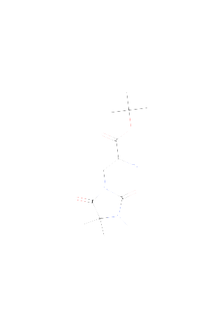 CN1C(=O)N(CC(N)C(=O)OC(C)(C)C)C(=O)C1(C)C